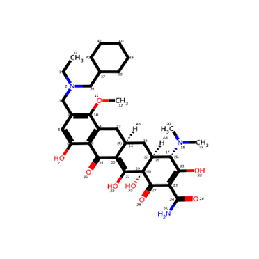 CCN(Cc1cc(O)c2c(c1OC)C[C@H]1C[C@H]3[C@H](N(C)C)C(O)=C(C(N)=O)C(=O)[C@@]3(O)C(O)=C1C2=O)CC1CCCCC1